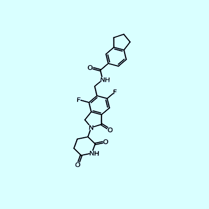 O=C1CCC(N2Cc3c(cc(F)c(CNC(=O)c4ccc5c(c4)CCC5)c3F)C2=O)C(=O)N1